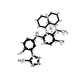 Cc1nnnn1-c1cc(Nc2ncc(C#N)c(N(C)[C@H]3CCCN4CCCC[C@H]34)n2)ccc1F